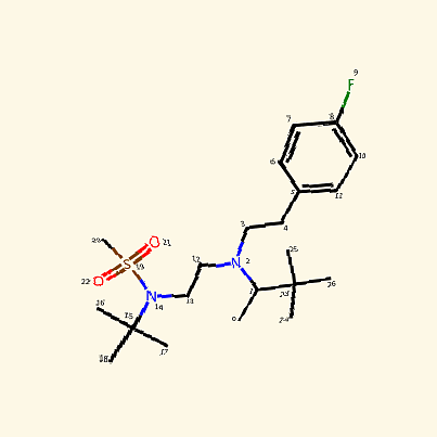 CC(N(CCc1ccc(F)cc1)CCN(C(C)(C)C)S(C)(=O)=O)C(C)(C)C